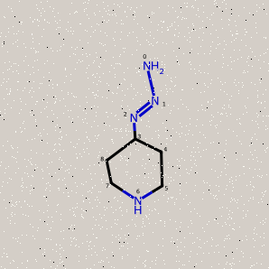 NN=NC1CCNCC1